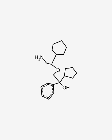 NCC(OCC(O)(c1ccccc1)C1CCCC1)C1CCCCC1